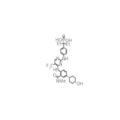 CCC(CC)(c1ccc(Nc2ncc(C(F)(F)F)c(Nc3ccc([C@H]4CC[C@H](O)CC4)cc3C(=O)NC)n2)cc1)P(=O)(O)O